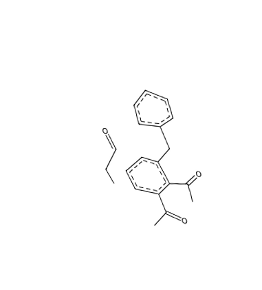 CC(=O)c1cccc(Cc2ccccc2)c1C(C)=O.CCC=O